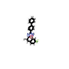 C[C@H](Cc1ccc(F)cc1)c1nc(-c2ccc(-c3ccccc3)cc2)no1